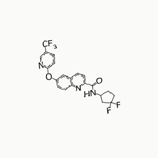 O=C(NC1CCC(F)(F)C1)c1ccc2cc(Oc3ccc(C(F)(F)F)cn3)ccc2n1